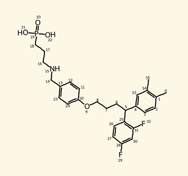 Cc1ccc(C(CCCOc2ccc(CNCCCP(=O)(O)O)cc2)c2ccc(F)cc2F)cc1C